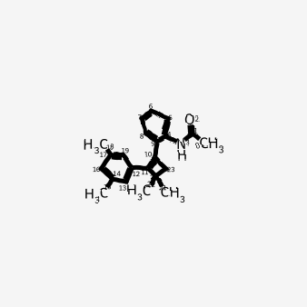 CC(=O)Nc1ccccc1C1=C(c2cc(C)cc(C)c2)C(C)(C)C1